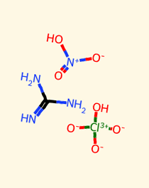 N=C(N)N.O=[N+]([O-])O.[O-][Cl+3]([O-])([O-])O